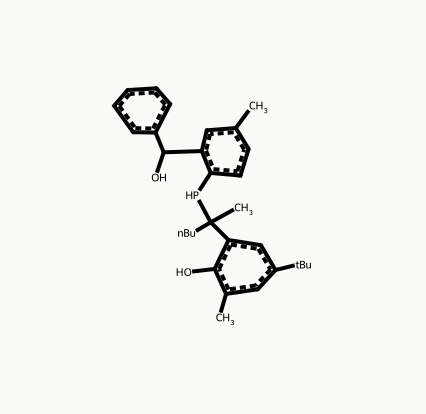 CCCCC(C)(Pc1ccc(C)cc1C(O)c1ccccc1)c1cc(C(C)(C)C)cc(C)c1O